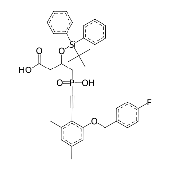 Cc1cc(C)c(C#CP(=O)(O)CC(CC(=O)O)O[Si](c2ccccc2)(c2ccccc2)C(C)(C)C)c(OCc2ccc(F)cc2)c1